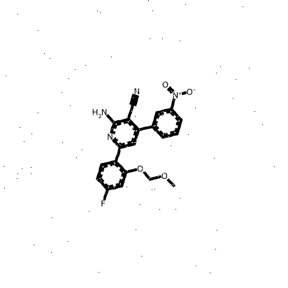 COCOc1cc(F)ccc1-c1cc(-c2cccc([N+](=O)[O-])c2)c(C#N)c(N)n1